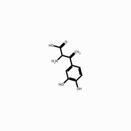 C=C(c1ccc(O)c(O)c1)C(N)C(=O)O